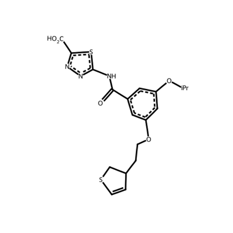 CC(C)Oc1cc(OCCC2C=CSC2)cc(C(=O)Nc2nnc(C(=O)O)s2)c1